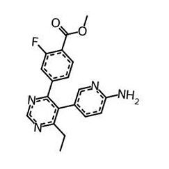 CCc1ncnc(-c2ccc(C(=O)OC)c(F)c2)c1-c1ccc(N)nc1